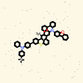 [2H]c1c2c3c(cccc3c3cc(N(c4ccc5c(c4)oc4ccccc45)c4ccccc4-c4ccccc4)ccc13)Sc1cc(-c3ccc(N(c4ccccc4)c4ccc([Si](C)(C)C)cc4)cc3)ccc1-2